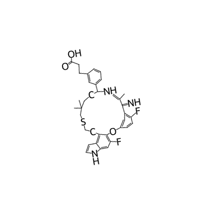 C/C1=C/NC(c2cccc(CCC(=O)O)c2)CCC(C)(C)CSCCc2c(c(F)cc3[nH]ccc23)Oc2ccc(F)c(c2)C1=N